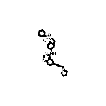 O=S(=O)(c1ccccc1)n1ccc2cc(Nc3ncnc4ccc(C#CCN5CCCC5)cc34)ccc21